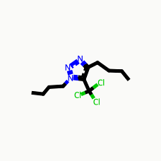 CCCCc1nnn(CCCC)c1C(Cl)(Cl)Cl